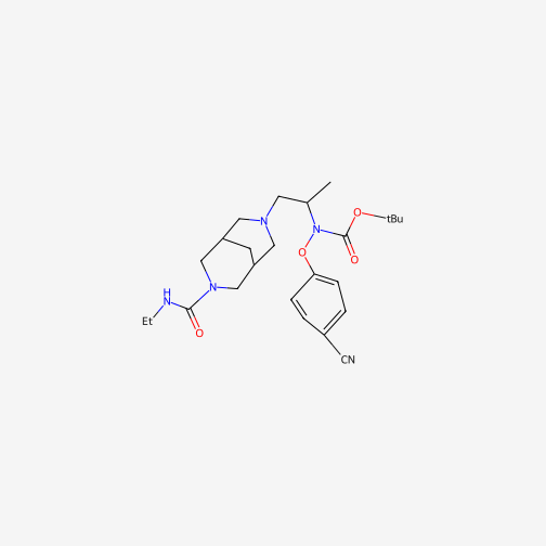 CCNC(=O)N1CC2CC(CN(CC(C)N(Oc3ccc(C#N)cc3)C(=O)OC(C)(C)C)C2)C1